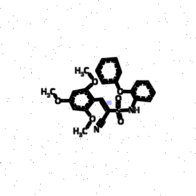 COc1cc(OC)c(/C=C(\C#N)S(=O)(=O)Nc2ccccc2Oc2ccccc2)c(OC)c1